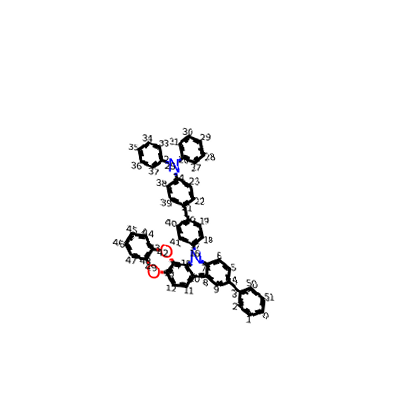 c1ccc(-c2ccc3c(c2)c2ccc4c(c2n3-c2ccc(-c3ccc(N(c5ccccc5)c5ccccc5)cc3)cc2)Oc2ccccc2O4)cc1